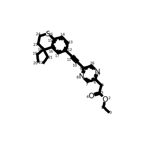 CCOC(=O)Cc1cnc(C#Cc2ccc3c(c2)C(CC)(CC)CCS3)cn1